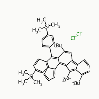 CC(C)(C)c1cc2c(c(C3=CC=CC3)c1=C(c1ccc([Si](C)(C)C)cc1)c1ccc([Si](C)(C)C)cc1)[C]([Zr+2])=c1c(C(C)(C)C)cccc1=2.[Cl-].[Cl-]